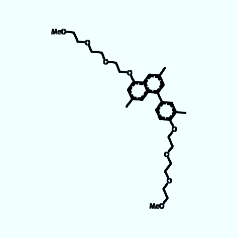 COCCOCCOCCOc1ccc(-c2cc(C)cc3c(OCCOCCOCCOC)cc(C)cc23)cc1C